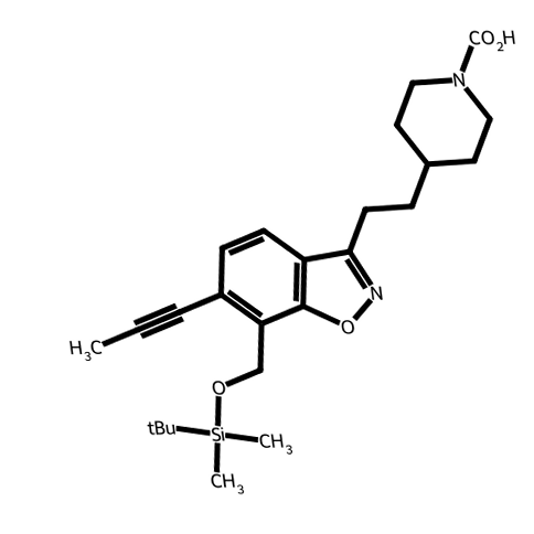 CC#Cc1ccc2c(CCC3CCN(C(=O)O)CC3)noc2c1CO[Si](C)(C)C(C)(C)C